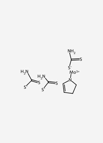 NC(=S)[S-].NC(=S)[S-].NC(=S)[S-].[Mo+3][N]1C=CCC1